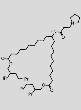 CC(C)CCC(COC(=O)CCCCCCCCCC(CCCCCCCCCC(=O)OCC(CCC(C)C)C(C)C)NC(=O)CCN1CCCC1)C(C)C